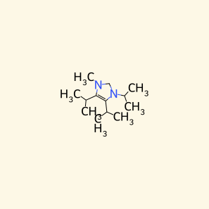 CC(C)C1=C(C(C)C)N(C(C)C)CN1C